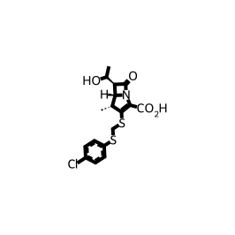 CC(O)[C@H]1C(=O)N2C(C(=O)O)=C(SCSc3ccc(Cl)cc3)[C@H](C)[C@H]12